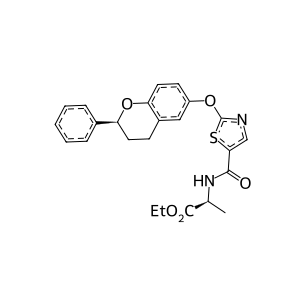 CCOC(=O)[C@H](C)NC(=O)c1cnc(Oc2ccc3c(c2)CC[C@@H](c2ccccc2)O3)s1